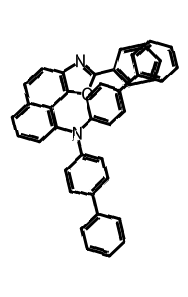 c1ccc(-c2ccc(N(c3ccc(-c4ccccc4)cc3)c3cccc4ccc5nc(-c6ccccc6)oc5c34)cc2)cc1